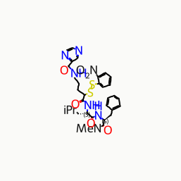 CNC(=O)[C@H](Cc1ccccc1)NC(=O)[C@H](CC(C)C)NC(=O)C(CCCNC(=O)c1cnccn1)SSc1ccccc1[N+](=O)[O-]